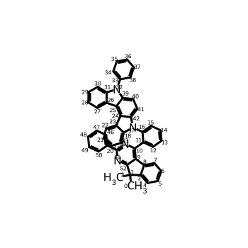 CC1(C)c2ccccc2-c2c(-c3ccccc3-n3c4ccccc4c4c5c6ccccc6n(-c6ccccc6)c5ccc43)nc(-c3ccccc3)nc21